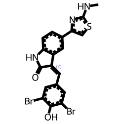 CNc1nc(-c2ccc3c(c2)/C(=C/c2cc(Br)c(O)c(Br)c2)C(=O)N3)cs1